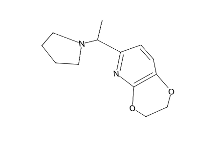 CC(c1ccc2c(n1)OCCO2)N1CCCC1